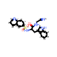 N#CCNC(=O)C(Cc1c[nH]c2ccccc12)NS(=O)(=O)c1ccc2ncccc2c1